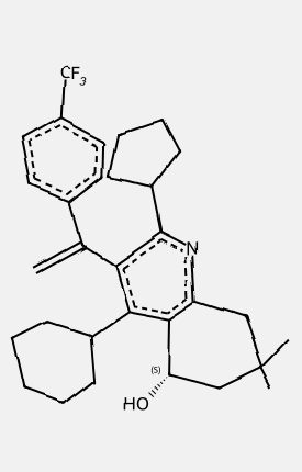 C=C(c1ccc(C(F)(F)F)cc1)c1c(C2CCCC2)nc2c(c1C1CCCCC1)[C@@H](O)CC(C)(C)C2